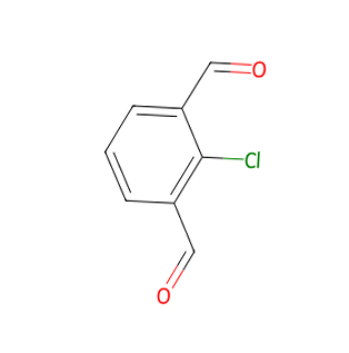 O=Cc1cccc(C=O)c1Cl